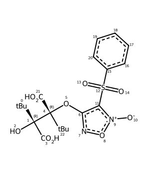 CC(C)(C)[C@](O)(C(=O)O)[C@@](Oc1no[n+]([O-])c1S(=O)(=O)c1ccccc1)(C(=O)O)C(C)(C)C